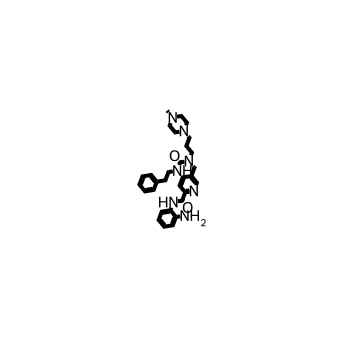 CN1CCN(CCCN(Cc2ccc(C(=O)Nc3ccccc3N)nc2)C(=O)NCCc2ccccc2)CC1